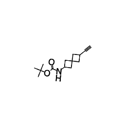 C#CC1CC2(C1)CC(NC(=O)OC(C)(C)C)C2